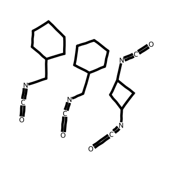 O=C=NC1CC(N=C=O)C1.O=C=NCC1CCCCC1.O=C=NCC1CCCCC1